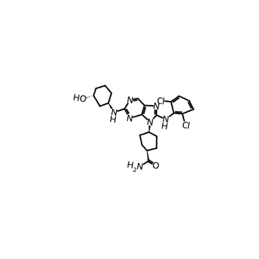 NC(=O)[C@H]1CC[C@@H](n2c(Nc3c(Cl)cccc3Cl)nc3cnc(N[C@@H]4CCC[C@@H](O)C4)nc32)CC1